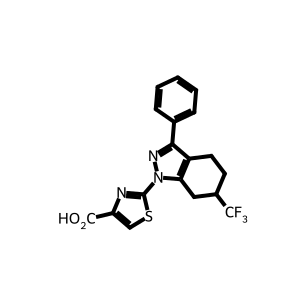 O=C(O)c1csc(-n2nc(-c3ccccc3)c3c2CC(C(F)(F)F)CC3)n1